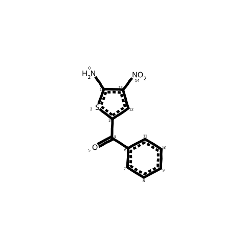 Nc1sc(C(=O)c2ccccc2)cc1[N+](=O)[O-]